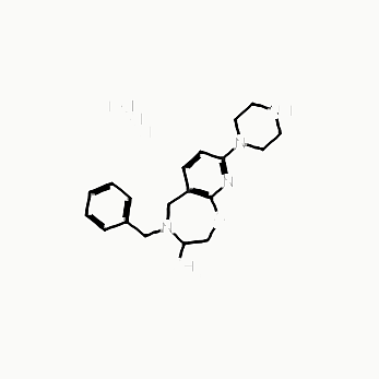 CC1COc2nc(N3CCNCC3)ccc2CN1Cc1ccccc1.Cl.Cl.Cl